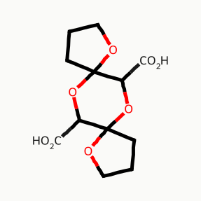 O=C(O)C1OC2(CCCO2)C(C(=O)O)OC12CCCO2